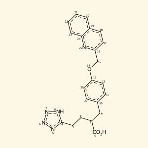 O=C(O)C(CCc1nnn[nH]1)Cc1ccc(OCc2ccc3ccccc3n2)cc1